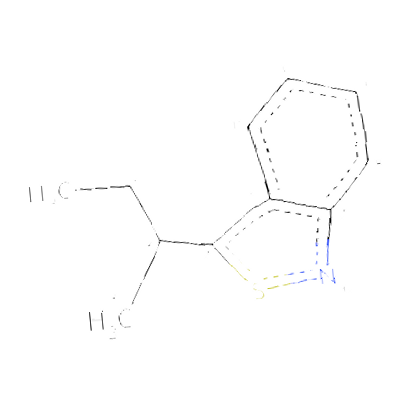 CCC(C)c1snc2ccccc12